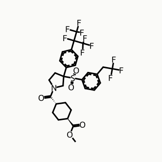 COC(=O)[C@H]1CC[C@H](C(=O)N2CCC(c3ccc(C(F)(C(F)(F)F)C(F)(F)F)cc3)(S(=O)(=O)c3cccc(CC(F)(F)F)c3)C2)CC1